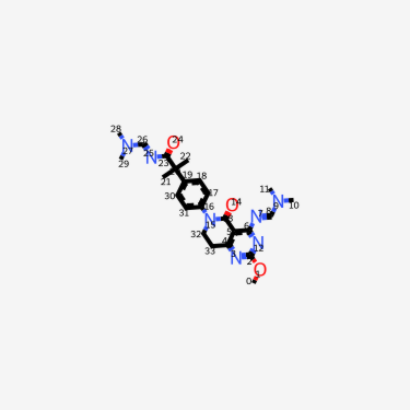 COc1nc2c(c(N=CN(C)C)n1)C(=O)N(c1ccc(C(C)(C)C(=O)N=CN(C)C)cc1)CC2